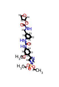 CCOP(=O)(OCC)n1cnc(-c2ccc(NC(=O)Nc3cccc(CNC(=O)O[C@H]4CCOC4)c3)cc2OC)c1